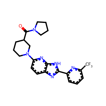 O=C(C1CCCN(c2ccc3nc(-c4cccc(C(F)(F)F)n4)[nH]c3n2)C1)N1CCCC1